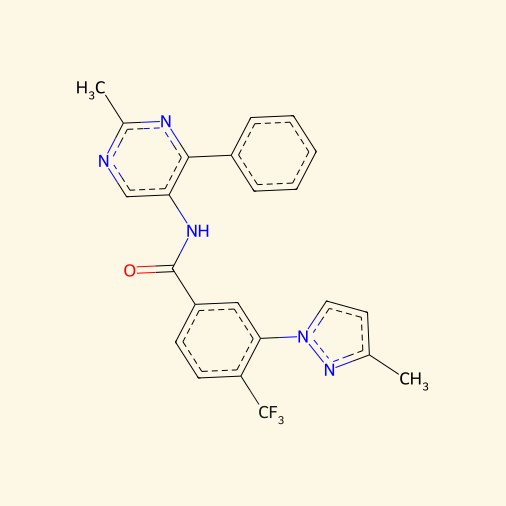 Cc1ccn(-c2cc(C(=O)Nc3cnc(C)nc3-c3ccccc3)ccc2C(F)(F)F)n1